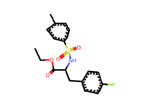 CCOC(=O)C(Cc1ccc(F)cc1)NS(=O)(=O)c1ccc(C)cc1